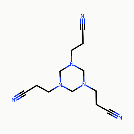 N#CCCN1CN(CCC#N)CN(CCC#N)C1